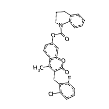 Cc1c(Cc2c(F)cccc2Cl)c(=O)oc2cc(OC(=O)N3CCCc4ccccc43)ccc12